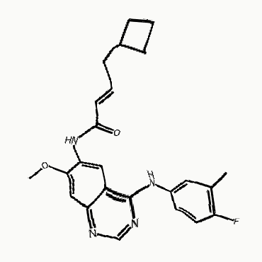 COc1cc2ncnc(Nc3ccc(F)c(C)c3)c2cc1NC(=O)/C=C/CC1CCC1